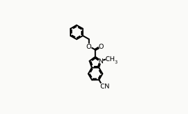 Cn1c(C(=O)OCc2ccccc2)cc2ccc(C#N)cc21